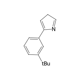 CC(C)(C)c1cccc(C2=CCC=N2)c1